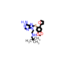 CC(C)(C)CNCCn1c(Sc2cc3c(cc2-c2ccco2)OCO3)nc2c(N)ncnc21